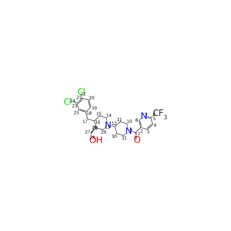 O=C(c1ccc(C(F)(F)F)nc1)N1CCC(N2CCC(Cc3ccc(Cl)c(Cl)c3)[C@H](CO)C2)CC1